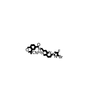 C[C@@]1(C#N)COCc2ccc(C(=O)NCc3cc4nc(-n5cc(F)c(Br)n5)ccc4cn3)cc21